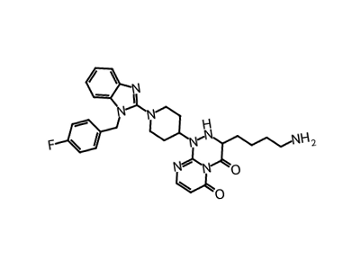 NCCCCC1NN(C2CCN(c3nc4ccccc4n3Cc3ccc(F)cc3)CC2)c2nccc(=O)n2C1=O